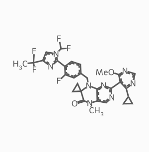 COc1ncnc(C2CC2)c1-c1ncc2c(n1)N(Cc1ccc(-c3nc(C(C)(F)F)cn3C(F)F)c(F)c1)C1(CC1)C(=O)N2C